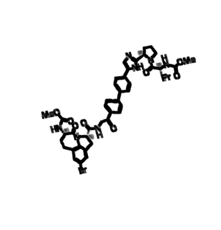 COC(=O)N[C@H]1CCc2cc(Br)cc3c2N(C1=O)[C@H](C(=O)NCC(=O)c1ccc(-c2ccc(-c4cnc([C@H]5CCCN5C(=O)[C@H](NC(=O)OC)C(C)C)[nH]4)cc2)cc1)C3